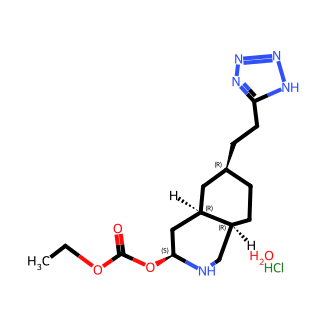 CCOC(=O)O[C@H]1C[C@H]2C[C@@H](CCc3nnn[nH]3)CC[C@H]2CN1.Cl.O